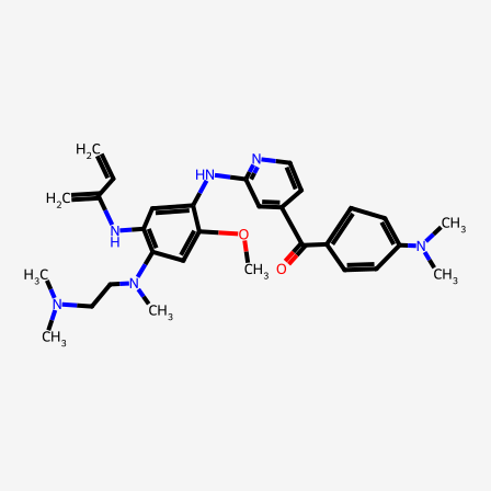 C=CC(=C)Nc1cc(Nc2cc(C(=O)c3ccc(N(C)C)cc3)ccn2)c(OC)cc1N(C)CCN(C)C